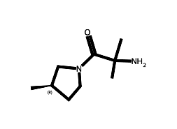 C[C@@H]1CCN(C(=O)C(C)(C)N)C1